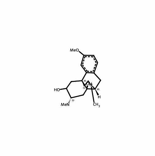 CN[C@H]1C[C@@]2(O)[C@H]3Cc4ccc(OC)cc4[C@@]2(CCN3C)CC1O